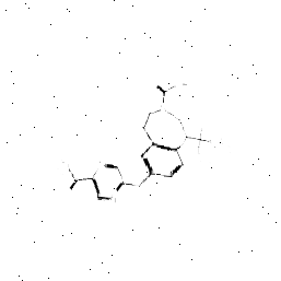 CC(C)(C)C1CN(C(=O)O)CCc2cc(Cc3cnc(C(N)=O)cn3)ccc21